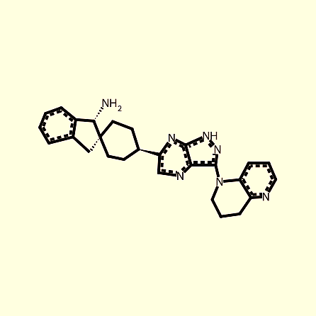 N[C@H]1c2ccccc2C[C@]12CC[C@H](c1cnc3c(N4CCCc5ncccc54)n[nH]c3n1)CC2